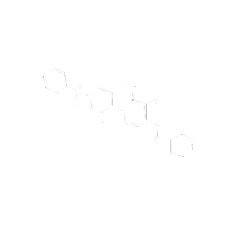 N#Cc1ccc(S(=O)(=O)N2C[C@@H](F)C(n3ncc(NC[C@H]4CCCOC4)c(Cl)c3=O)[C@@H](F)C2)cc1